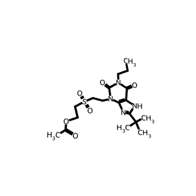 CCCn1c(=O)c2[nH]c(C(C)(C)C)nc2n(CCS(=O)(=O)CCOC(C)=O)c1=O